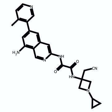 Cc1ccncc1-c1cc(N)c2cnc(NC(=O)C(=O)NC3(CC#N)CN(C4CC4)C3)cc2c1